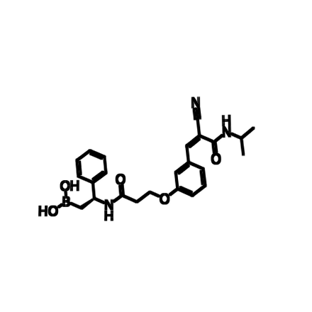 CC(C)NC(=O)C(C#N)=Cc1cccc(OCCC(=O)N[C@@H](CB(O)O)c2ccccc2)c1